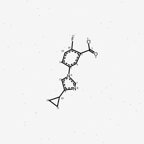 O=C(Cl)c1cc(-n2cnc(C3CC3)c2)ccc1F